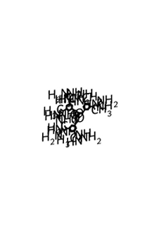 CC(NC(=N)N)c1cc(COP(=O)(OCc2cc(C(C)NC(=N)N)cc(C(C)NC(=N)N)c2)OCc2cc(C(C)NC(=N)N)cc(C(C)NC(=N)N)c2)cc(C(C)NC(=N)N)c1